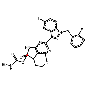 CCNC(=O)OC[C@@]12CCOc3nc(-c4nn(Cc5ccccc5F)c5ncc(F)cc45)nc(c31)NC2=O